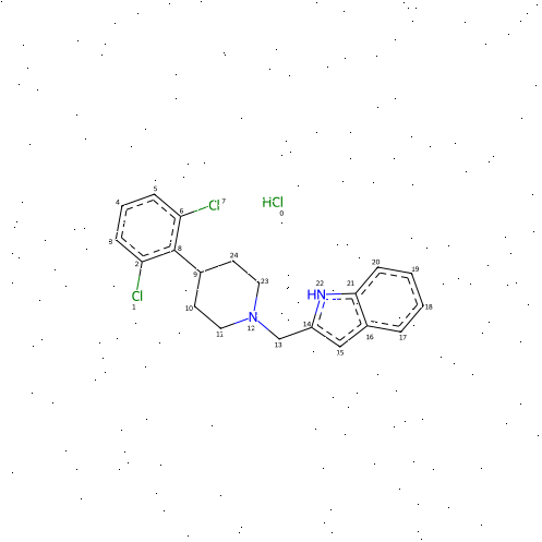 Cl.Clc1cccc(Cl)c1C1CCN(Cc2cc3ccccc3[nH]2)CC1